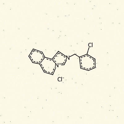 Clc1ccccc1Cn1cc2c3ccccc3cc[n+]2c1.[Cl-]